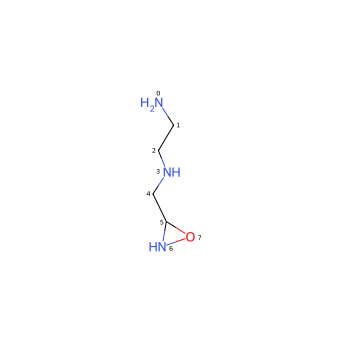 NCCNCC1NO1